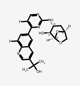 CC(C)(O)c1cnc2c(F)cc(-c3nc(N[C@@H]4C[C@H]5CO[C@H](O5)[C@H]4O)ncc3F)cc2c1